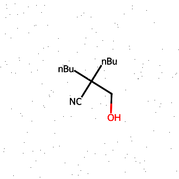 CCCCC(C#N)(CO)CCCC